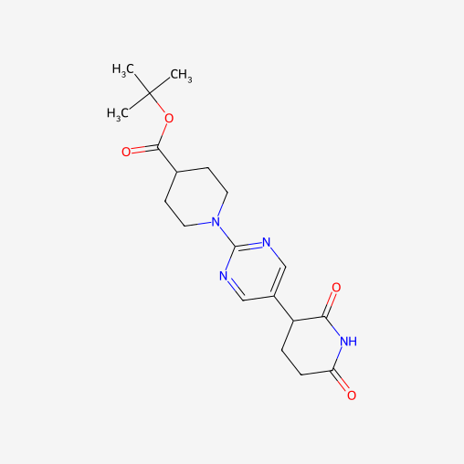 CC(C)(C)OC(=O)C1CCN(c2ncc(C3CCC(=O)NC3=O)cn2)CC1